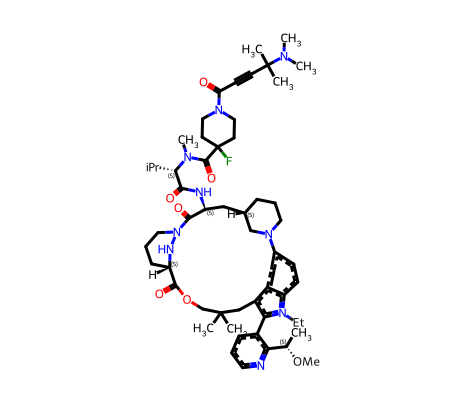 CCn1c(-c2cccnc2[C@H](C)OC)c2c3cc(ccc31)N1CCC[C@@H](C[C@H](NC(=O)[C@H](C(C)C)N(C)C(=O)C3(F)CCN(C(=O)C#CC(C)(C)N(C)C)CC3)C(=O)N3CCC[C@H](N3)C(=O)OCC(C)(C)C2)C1